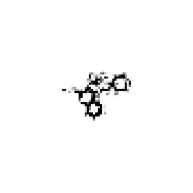 CCCc1nc2c(N)nc3ccccc3c2n1CC1(O)CCOCC1